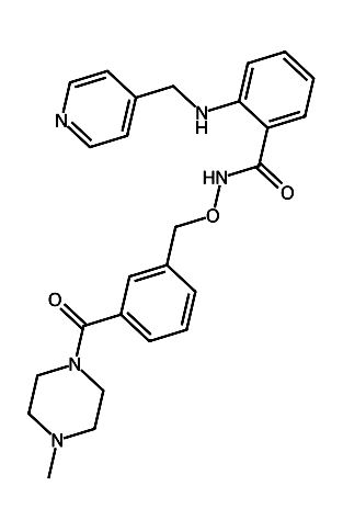 CN1CCN(C(=O)c2cccc(CONC(=O)c3ccccc3NCc3ccncc3)c2)CC1